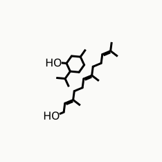 CC(C)=CCC/C(C)=C/CC/C(C)=C/CO.CC1CCC(C(C)C)C(O)C1